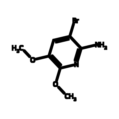 COc1cc(Br)c(N)nc1OC